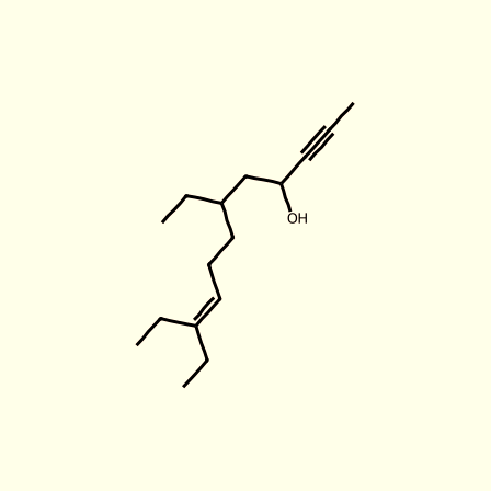 CC#CC(O)CC(CC)CCC=C(CC)CC